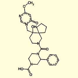 COc1cc(=O)n(CC2(O)CCN(C(=O)N3CCN(C(=O)O)CC3c3ccccc3)CC23CCCC3)cn1